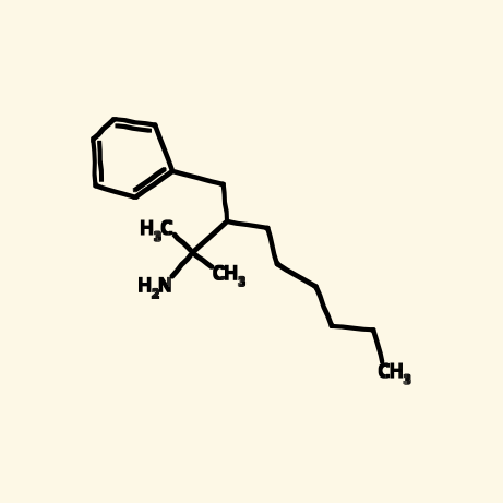 CCCCCCC(Cc1ccccc1)C(C)(C)N